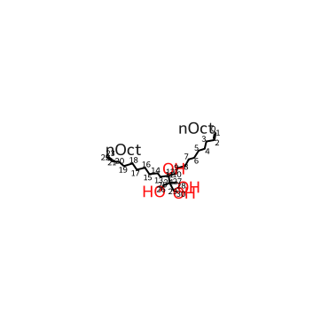 CCCCCCCC/C=C\CCCCCCCCC(O)(CCCCCCCC/C=C\CCCCCCCC)C(CO)(CO)CO